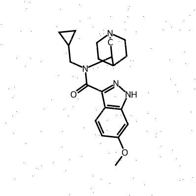 COc1ccc2c(C(=O)N(CC3CC3)C3CN4CCC3CC4)n[nH]c2c1